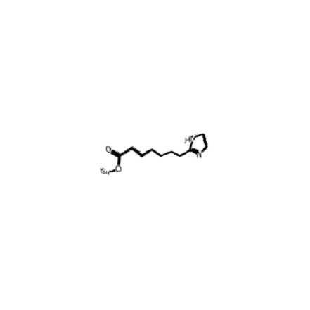 CC(C)(C)OC(=O)CCCCCCc1ncc[nH]1